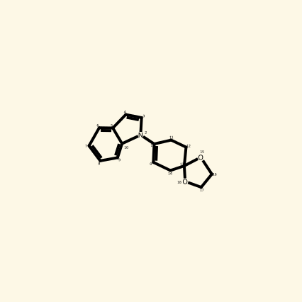 C1=C(n2ccc3ccccc32)CCC2(C1)OCCO2